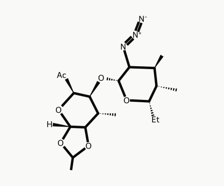 CC[C@@H]1O[C@H](O[C@H]2[C@H](C)C3OC(C)O[C@@H]3O[C@H]2C(C)=O)C(N=[N+]=[N-])[C@@H](C)[C@@H]1C